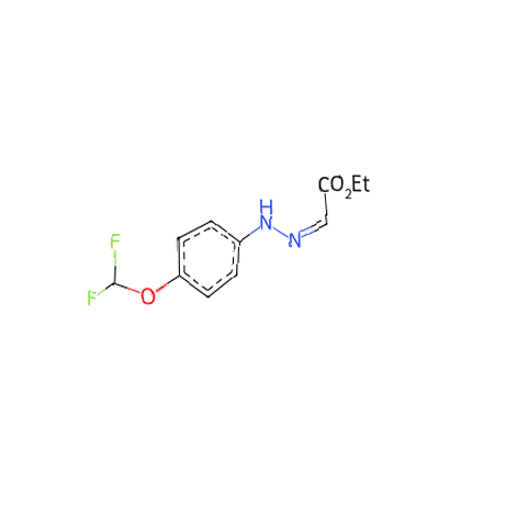 CCOC(=O)/C=N\Nc1ccc(OC(F)F)cc1